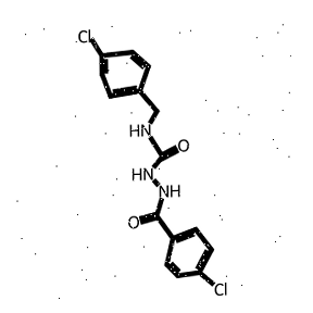 O=C(NCc1ccc(Cl)cc1)NNC(=O)c1ccc(Cl)cc1